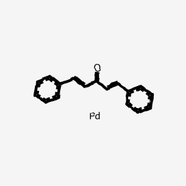 O=C(/C=C/c1ccccc1)/C=C/c1ccccc1.[Pd]